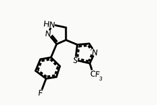 Fc1ccc(C2=NNCC2c2cnc(C(F)(F)F)s2)cc1